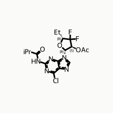 CC[C@H]1O[C@@H](n2cnc3c(Cl)nc(NC(=O)C(C)C)nc32)[C@H](OC(C)=O)C1(F)F